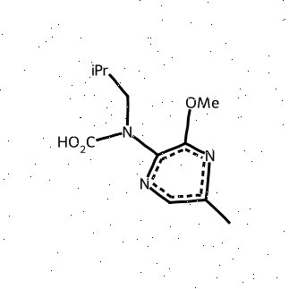 COc1nc(C)cnc1N(CC(C)C)C(=O)O